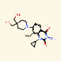 COc1c(N2CCC(CO)(CO)CC2)ccc2c(=O)n(N)c(=O)n(C3CC3)c12